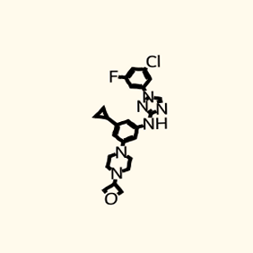 Fc1cc(Cl)cc(-n2cnc(Nc3cc(C4CC4)cc(N4CCN(C5COC5)CC4)c3)n2)c1